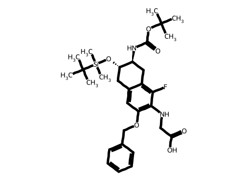 CC(C)(C)OC(=O)N[C@H]1Cc2c(cc(OCc3ccccc3)c(NCC(=O)O)c2F)C[C@@H]1O[Si](C)(C)C(C)(C)C